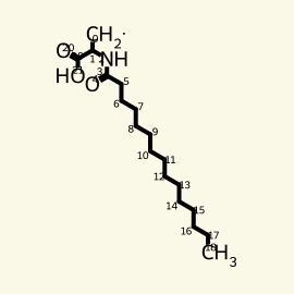 [CH2]C(NC(=O)CCCCCCCCCCCCCC)C(=O)O